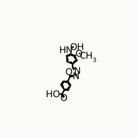 COc1cc(-c2nnc(-c3ccc(C(=O)O)cc3)o2)ccc1NO